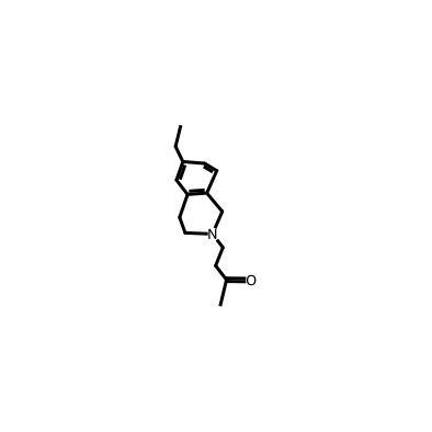 CCc1ccc2c(c1)CCN(CCC(C)=O)C2